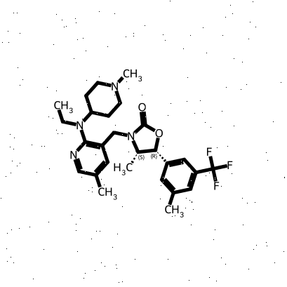 CCN(c1ncc(C)cc1CN1C(=O)O[C@H](c2cc(C)cc(C(F)(F)F)c2)[C@@H]1C)C1CCN(C)CC1